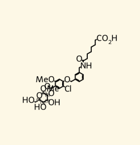 COc1cc(OCc2cccc(CNC(=O)CCCCCCC(=O)O)c2)c(Cl)cc1C(=O)O[C@H]1[C@@H](OC)O[C@H](CO)[C@@H](O)[C@@H]1O